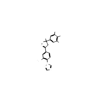 N#Cc1cc(C2=NSC(c3cc(Cl)c(Cl)c(Cl)c3)(C(F)(F)F)C2)ccc1-n1cncn1